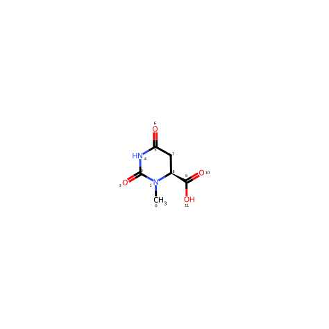 CN1C(=O)NC(=O)C[C@H]1C(=O)O